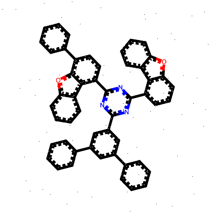 c1ccc(-c2cc(-c3ccccc3)cc(-c3nc(-c4cccc5oc6ccccc6c45)nc(-c4ccc(-c5ccccc5)c5oc6ccccc6c45)n3)c2)cc1